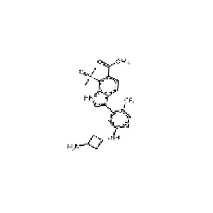 COC(=O)c1ccc2c(-c3nc(N[C@H]4C[C@H](N)C4)ncc3C(F)(F)F)c[nH]c2c1P(C)(C)=O